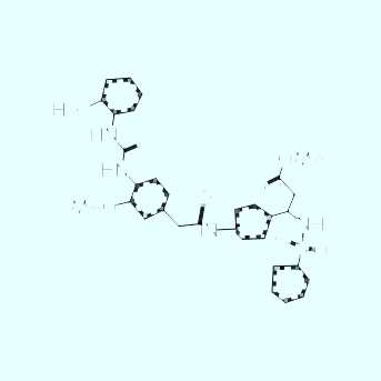 COC(=O)CC(NS(=O)(=O)c1ccccc1)c1ccc(NC(=O)Cc2ccc(NC(=O)Nc3ccccc3C)c(OC)c2)cc1